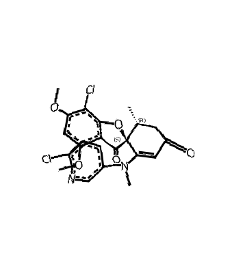 COc1cc(OC)c2c(c1Cl)O[C@]1(C2=O)C(N(C)c2ccc(Cl)nc2)=CC(=O)C[C@H]1C